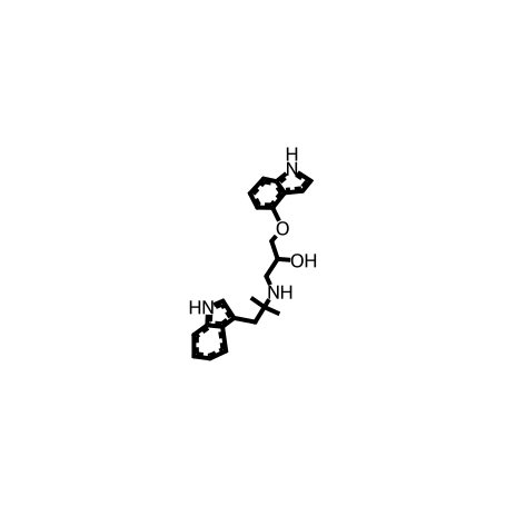 CC(C)(Cc1c[nH]c2ccccc12)NCC(O)COc1cccc2[nH]ccc12